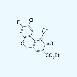 CCOC(=O)c1cc2c(n(C3CC3)c1=O)-c1cc(Cl)c(F)cc1OC2